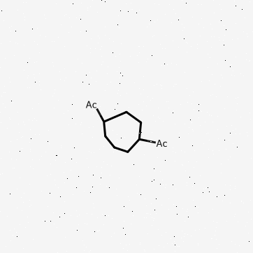 CC(=O)C1CCCC(C(C)=O)CC1